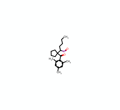 CCCCC(P=O)C1(C(=O)c2c(C)cc(C)cc2C)CCCC1